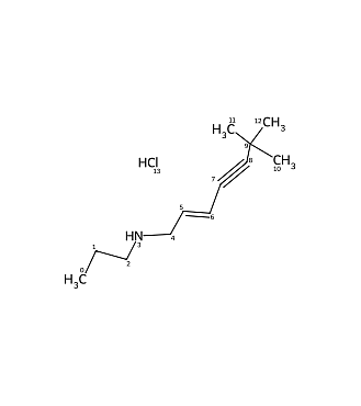 CCCNCC=CC#CC(C)(C)C.Cl